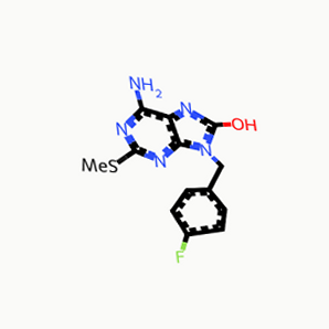 CSc1nc(N)c2nc(O)n(Cc3ccc(F)cc3)c2n1